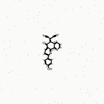 N#CC(C#N)=C1C(=O)c2ccc(-c3ccc(O)cc3)nc2-c2ncccc21